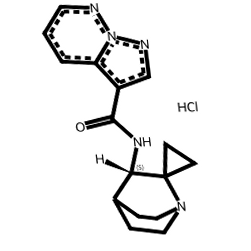 Cl.O=C(N[C@H]1C2CCN(CC2)C12CC2)c1cnn2ncccc12